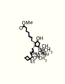 CCC1(C(C/C=C/[C@@H]2[C@@H](C/C=C/CCCC(=O)OC)[C@@H](O)C[C@H]2O[Si](C)(C)C(C)(C)C)O[Si](C)(C)C(C)(C)C)CCC1